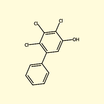 Oc1cc(-c2ccccc2)c(Cl)c(Cl)c1Cl